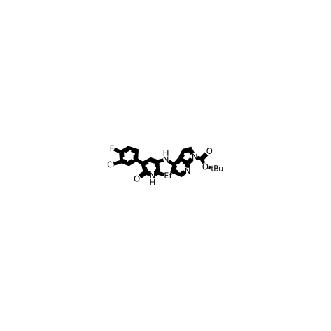 CCc1[nH]c(=O)c(-c2ccc(F)c(Cl)c2)cc1Nc1ccnc2c1ccn2C(=O)OC(C)(C)C